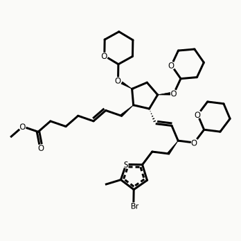 COC(=O)CCCC=CC[C@@H]1[C@@H](C=C[C@H](CCc2cc(Br)c(C)s2)OC2CCCCO2)[C@H](OC2CCCCO2)C[C@@H]1OC1CCCCO1